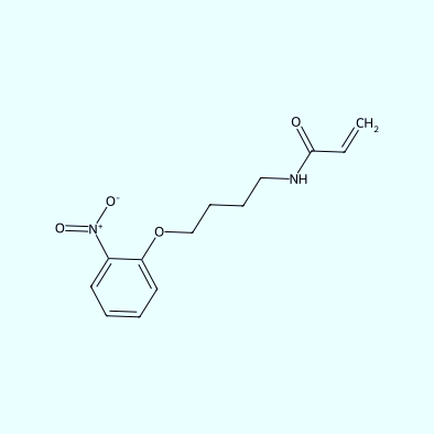 C=CC(=O)NCCCCOc1ccccc1[N+](=O)[O-]